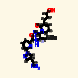 CN/C=C(/NC(=O)c1cccc(-n2cc(CN)cn2)n1)C(=N)N1CCC=C(CCCO)C1=O